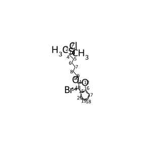 C[Si](C)(Cl)CCCCCCOC(=O)C(Br)c1ccccc1